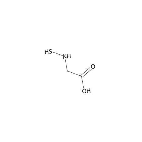 O=C(O)CNS